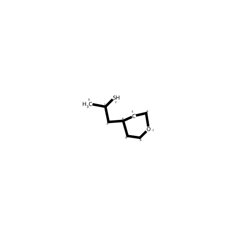 CC(S)CC1CCOCC1